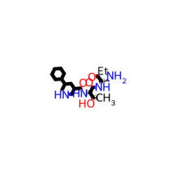 CCC(=O)[C@H](CN)NC(=O)[C@@H](NC(=O)C1CNCC(C2CCCCC2)C1)[C@H](C)O